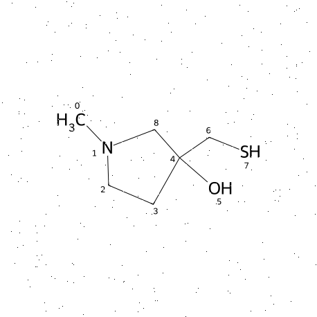 CN1CCC(O)(CS)C1